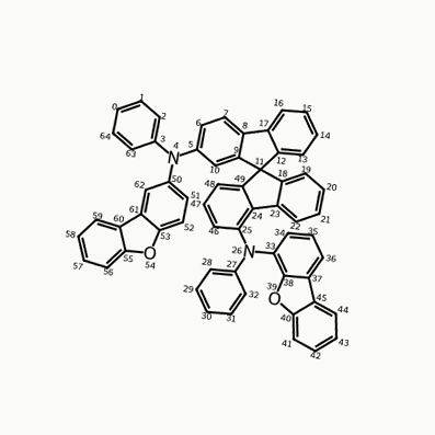 c1ccc(N(c2ccc3c(c2)C2(c4ccccc4-3)c3ccccc3-c3c(N(c4ccccc4)c4cccc5c4oc4ccccc45)cccc32)c2ccc3oc4ccccc4c3c2)cc1